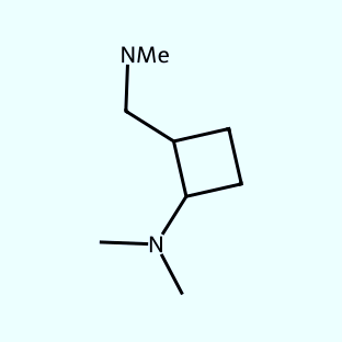 CNCC1CCC1N(C)C